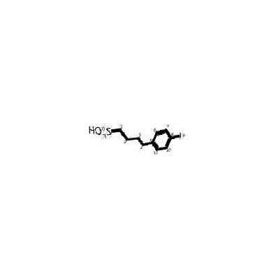 O=S(=O)(O)CCCCc1ccc(I)cc1